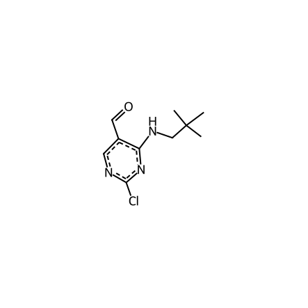 CC(C)(C)CNc1nc(Cl)ncc1C=O